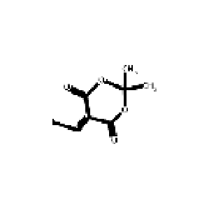 CC1(C)OC(=O)C(=CI)C(=O)O1